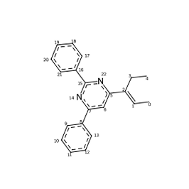 C/C=C(\CC)c1cc(-c2ccccc2)nc(-c2ccccc2)n1